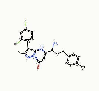 Cc1nn2c(=O)cc(C(N)CCc3ccc(C#N)cc3)[nH]c2c1-c1ccc(F)cc1F